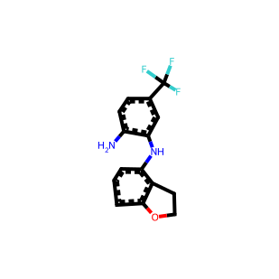 Nc1ccc(C(F)(F)F)cc1Nc1cccc2c1CCO2